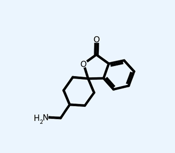 NCC1CCC2(CC1)OC(=O)c1ccccc12